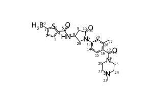 Bc1ccc(C(=O)NC2CC(=O)N(c3ccc(C(=O)N4CCN(C)CC4)c(C)c3)C2)s1